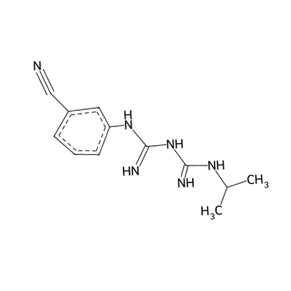 CC(C)NC(=N)NC(=N)Nc1cccc(C#N)c1